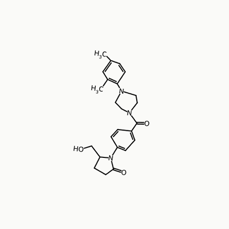 Cc1ccc(N2CCN(C(=O)c3ccc(N4C(=O)CCC4CO)cc3)CC2)c(C)c1